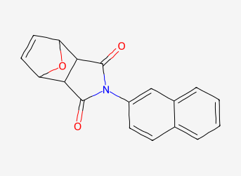 O=C1C2C3C=CC(O3)C2C(=O)N1c1ccc2ccccc2c1